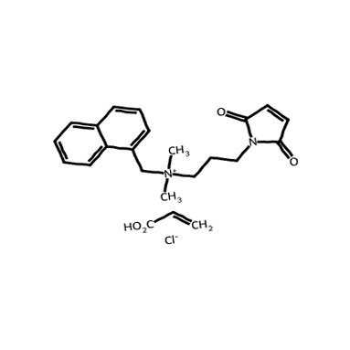 C=CC(=O)O.C[N+](C)(CCCN1C(=O)C=CC1=O)Cc1cccc2ccccc12.[Cl-]